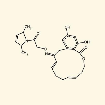 CC1C=CC(C)N1C(=O)CO/N=C1/C=C/CC/C=C/CCOC(=O)c2c(O)cc(O)cc2C1